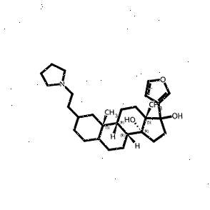 C[C@]12CC(CCN3CCCC3)CCC1CC[C@@H]1[C@H]2CC[C@]2(C)C(O)(c3ccoc3)CC[C@@]12O